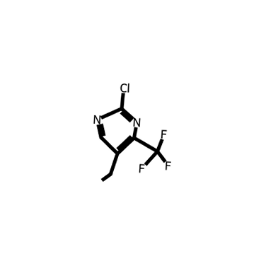 CCc1cnc(Cl)nc1C(F)(F)F